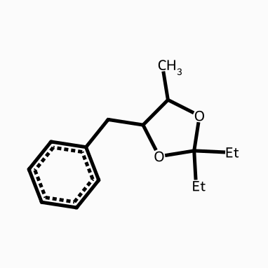 CCC1(CC)OC(C)C(Cc2ccccc2)O1